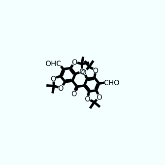 CC1(C)Oc2c(C=O)c3c(c(C(=O)c4c5c(c(C=O)c6c4OC(C)(C)O6)OC(C)(C)O5)c2O1)OC(C)(C)O3